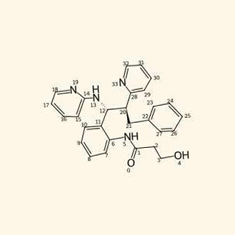 O=C(CCO)Nc1ccccc1[C@H](Nc1ccccn1)[C@H](Cc1ccccc1)c1ccccn1